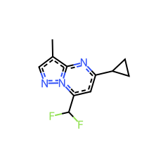 Cc1cnn2c(C(F)F)cc(C3CC3)nc12